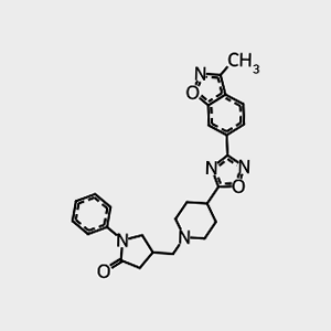 Cc1noc2cc(-c3noc(C4CCN(CC5CC(=O)N(c6ccccc6)C5)CC4)n3)ccc12